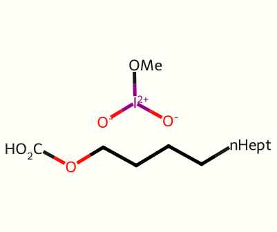 CCCCCCCCCCCOC(=O)O.CO[I+2]([O-])[O-]